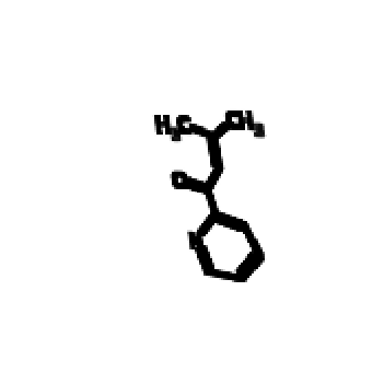 CC(C)=CC(=O)c1ccccn1